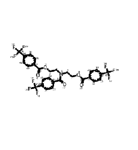 O=C(OCCN(CCOC(=O)c1ccc(C(F)(F)F)cc1)C(=O)c1ccc(C(F)(F)F)cc1)c1ccc(C(F)(F)F)cc1